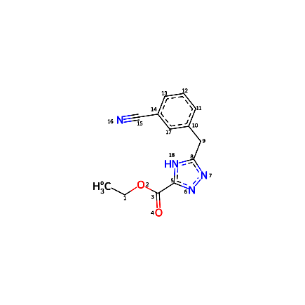 CCOC(=O)c1nnc(Cc2cccc(C#N)c2)[nH]1